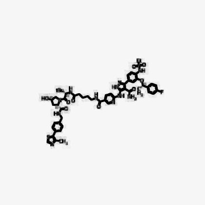 CCS(=O)(=O)Nc1ccc(-c2n[nH]c(Nc3ccc(C(=O)NCCCCC(=O)N[C@H](C(=O)N4C[C@H](O)C[C@H]4C(=O)NCc4ccc(-c5scnc5C)cc4)C(C)(C)C)cn3)c2C(N)=O)cc1O[C@@H](C)c1ccc(F)cc1